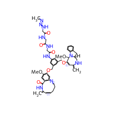 C=C1/C=C\CC/C=N\c2cc(OCc3cc(CO/C4=C/C(=C)NC[C@@H]5Cc6ccccc6N5C4OC)cc(NC(=O)CNC(=O)CNC(=O)CN/N=N/C)c3)c(OC)cc2C(=O)N1